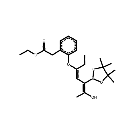 CCOC(=O)Cc1ccccc1O/C(=C/C(B1OC(C)(C)C(C)(C)O1)=C(\C)O)CC